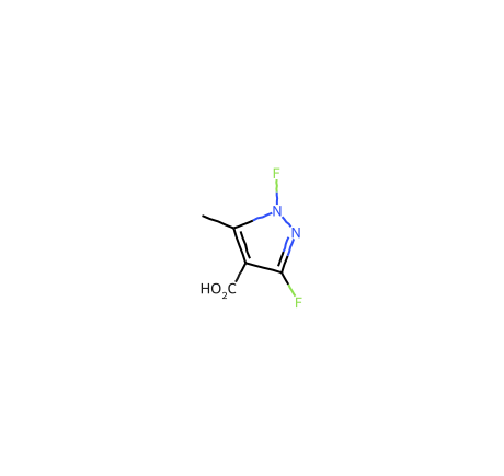 Cc1c(C(=O)O)c(F)nn1F